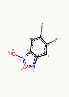 O[n+]1onc2cc(F)c(F)cc21